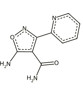 NC(=O)c1c(-c2ccccn2)noc1N